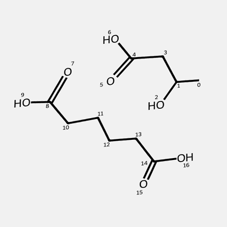 CC(O)CC(=O)O.O=C(O)CCCCC(=O)O